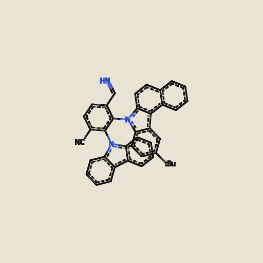 CC(C)(C)c1ccc2c(c1)c1c3ccccc3ccc1n2-c1c(C=N)ccc(C#N)c1-n1c2ccccc2c2ccccc21